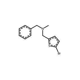 CN(Cc1ccccc1)Cc1ccc(Br)s1